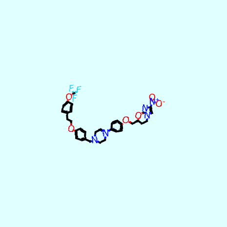 O=[N+]([O-])c1cn2c(n1)OC(COc1ccc(N3CCN(Cc4ccc(OCCc5ccc(OC(F)(F)F)cc5)cc4)CC3)cc1)CC2